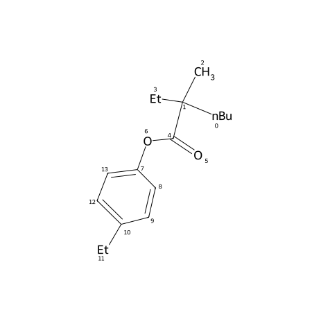 CCCCC(C)(CC)C(=O)Oc1ccc(CC)cc1